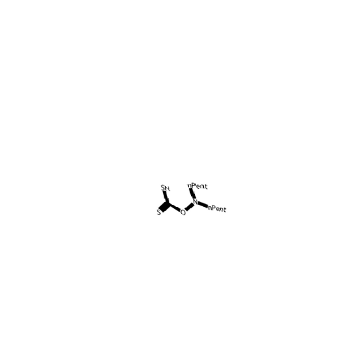 CCCCCN(CCCCC)OC(=S)S